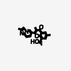 Cc1cc([C@@H](C)O)c2oc(-c3ccc4nc(C)cn4c3)c(C)c(=O)c2c1